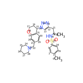 Cc1ccc(S(=O)(=O)N[C@@H](C)Cc2cn(C3CCOc4cc(CN5CCCCC5)ccc43)nn2)cc1